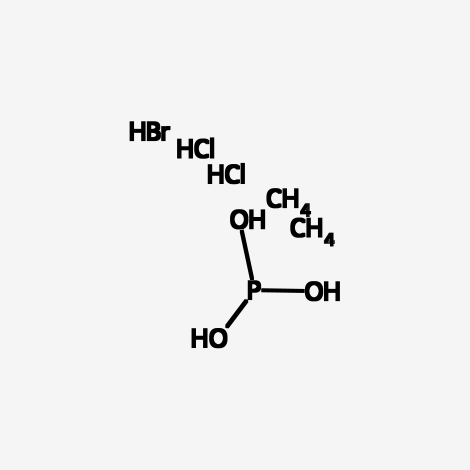 Br.C.C.Cl.Cl.OP(O)O